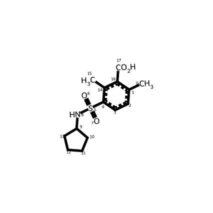 Cc1ccc(S(=O)(=O)NC2CCCC2)c(C)c1C(=O)O